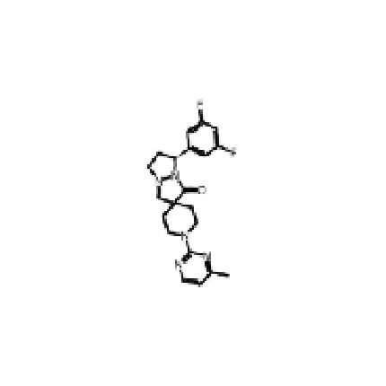 Cc1ccnc(N2CCC3(CC2)CN2CC[C@@H](c4cc(F)cc(F)c4)N2C3=O)n1